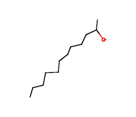 CCCCCCCCCCC(C)[O]